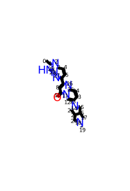 CC1N=C2C=CC(c3cc(=O)n4cc(N5CC6CN(C)CC6C5)ccc4n3)=NN2N1